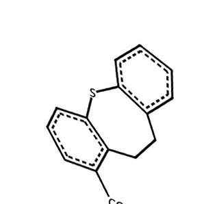 O=C(O)c1cccc2c1CCc1ccccc1S2